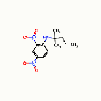 CCCC(C)(C)Nc1ccc([N+](=O)[O-])cc1[N+](=O)[O-]